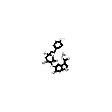 CC(C)C1(CCc2ccc(O)cc2)CC(O)=C(Sc2cc3c(C(=O)OC(C)(C)C)c[nH]c3cc2C(C)(C)C)C(=O)O1